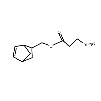 CCCCCCCCCC(=O)OCC1CC2C=CC1C2